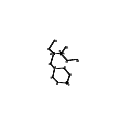 CCN(CC1CCOCC1)[N+](C)CC